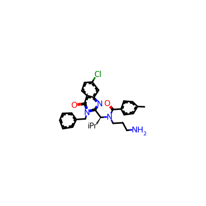 Cc1ccc(C(=O)N(CCCN)[C@H](c2nc3cc(Cl)ccc3c(=O)n2Cc2ccccc2)C(C)C)cc1